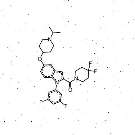 CC(C)N1CCC(Oc2ccc3c(c2)cc(C(=O)N2CCC(F)(F)CC2)n3-c2cc(F)cc(F)c2)CC1